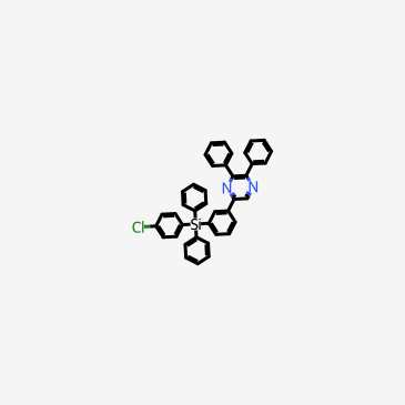 Clc1ccc([Si](c2ccccc2)(c2ccccc2)c2cccc(-c3cnc(-c4ccccc4)c(-c4ccccc4)n3)c2)cc1